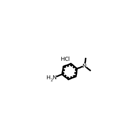 CN(C)c1ccc(N)cc1.Cl